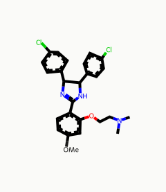 COc1ccc(C2=NC(c3ccc(Cl)cc3)C(c3ccc(Cl)cc3)N2)c(OCCN(C)C)c1